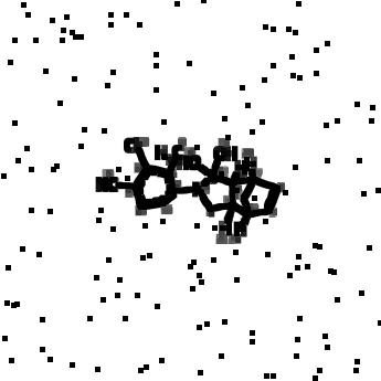 Cc1c(N2C[C@@H]3[C@@H]([C@@H]4C=C[C@H]3C4)S2(O)O)ccc(C#N)c1Cl